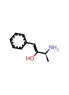 C[C@H](N)C(O)=Cc1ccccc1